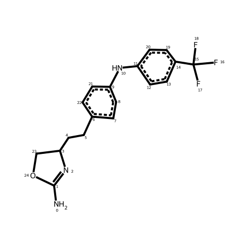 NC1=NC(CCc2ccc(Nc3ccc(C(F)(F)F)cc3)cc2)CO1